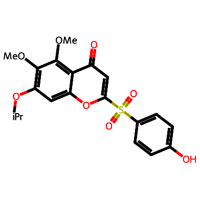 COc1c(OC(C)C)cc2oc(S(=O)(=O)c3ccc(O)cc3)cc(=O)c2c1OC